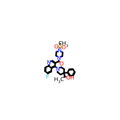 CC(O)C1(c2ccccc2)CCN(c2c(C(=O)N3CCN(S(C)(=O)=O)CC3)cnc3ccc(F)cc23)CC1